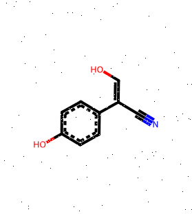 N#C/C(=C/O)c1ccc(O)cc1